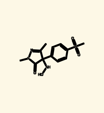 CC1=NN(C)C(=O)C1(NO)c1ccc(S(C)(=O)=O)cc1